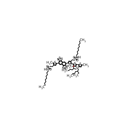 CCCCCCCCCCNS(=O)(=O)CCc1cc(-c2cc3c(cc(-c4cc(CCS(=O)(=O)NCCCCCCCCCC)c(-c5cc6c(s5)-c5sc(C)cc5[Si]6(CC(CC)CCCC)CC(CC)CCCC)s4)c4nsnc43)c3nsnc23)sc1C